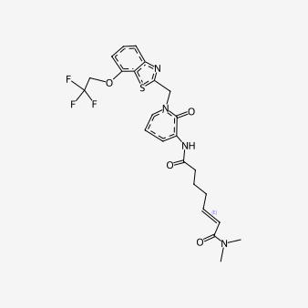 CN(C)C(=O)/C=C/CCCC(=O)Nc1cccn(Cc2nc3cccc(OCC(F)(F)F)c3s2)c1=O